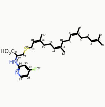 CC(C)=CCCC(C)=CCCC(C)=CCCC(C)=CCSCC(Nc1cc(F)ccn1)C(=O)O